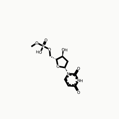 COP(=O)(O)OC[C@H]1O[C@@H](n2ccc(=O)[nH]c2=O)C[C@@H]1O